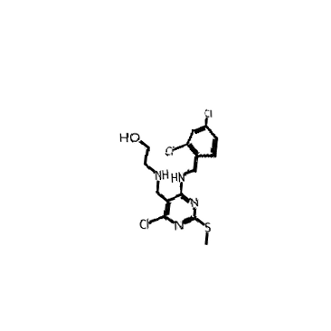 CSc1nc(Cl)c(CNCCO)c(NCc2ccc(Cl)cc2Cl)n1